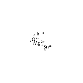 [In+3].[Mg+2].[O-2].[Sn+4]